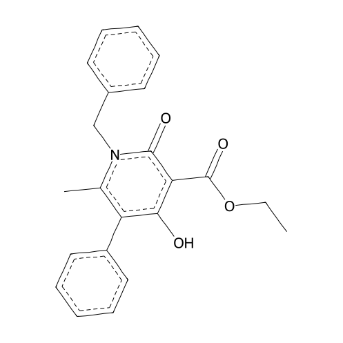 CCOC(=O)c1c(O)c(-c2ccccc2)c(C)n(Cc2ccccc2)c1=O